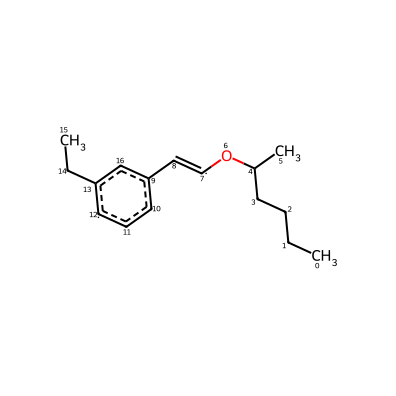 CCCCC(C)O[C]=Cc1cc[c]c(CC)c1